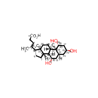 C[C@H](CCC(=O)O)[C@H]1CC[C@H]2[C@@H]3[C@H](O)C[C@@H]4C[C@H](O)C[C@@H](O)[C@]4(C)[C@H]3CC[C@]12C